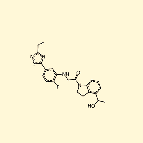 CCc1nsc(-c2ccc(F)c(NCC(=O)N3CCc4c(C(C)O)cccc43)c2)n1